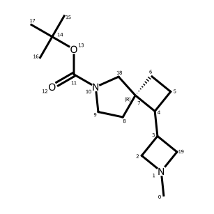 CN1CC(C2CC[C@@]23CCN(C(=O)OC(C)(C)C)C3)C1